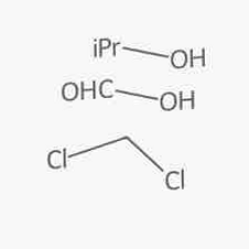 CC(C)O.ClCCl.O=CO